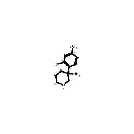 NC1(c2ccc(C(F)(F)F)cc2F)CCCOC1